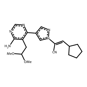 COC(Cc1c(N)ncnc1-c1cnn(C(C#N)=CC2CCCC2)c1)OC